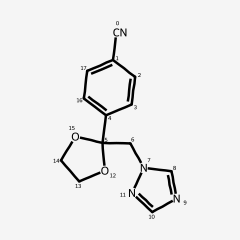 N#Cc1ccc(C2(Cn3cncn3)OCCO2)cc1